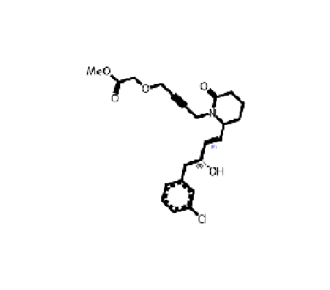 COC(=O)COCC#CCN1C(=O)CCCC1/C=C/[C@H](O)Cc1cccc(Cl)c1